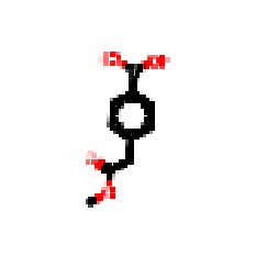 COC(=O)Cc1ccc(B(O)O)cc1